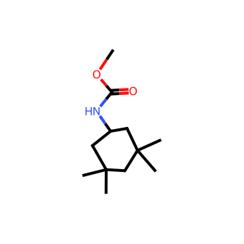 COC(=O)NC1CC(C)(C)CC(C)(C)C1